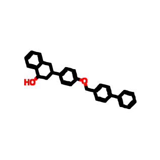 OC1CC(c2ccc(OCc3ccc(-c4ccccc4)cc3)cc2)Cc2ccccc21